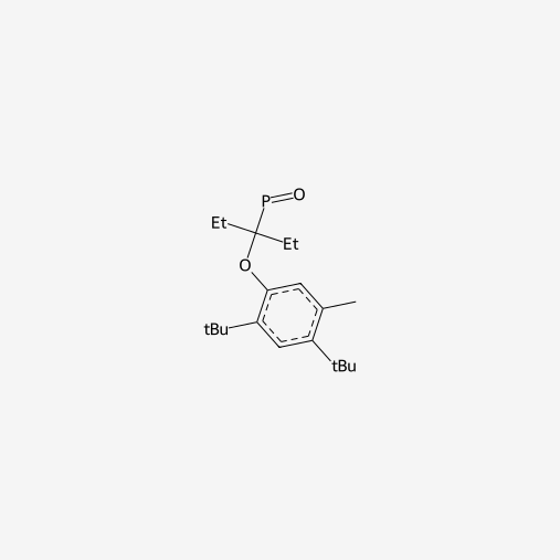 CCC(CC)(Oc1cc(C)c(C(C)(C)C)cc1C(C)(C)C)P=O